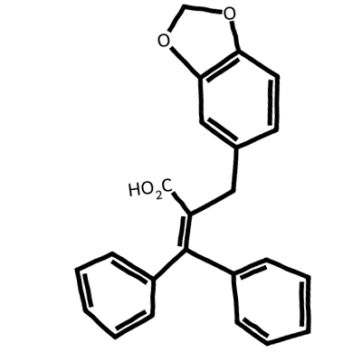 O=C(O)C(Cc1ccc2c(c1)OCO2)=C(c1ccccc1)c1ccccc1